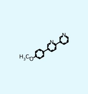 COc1ccc(-c2ccc(-c3cccnc3)nc2)cc1